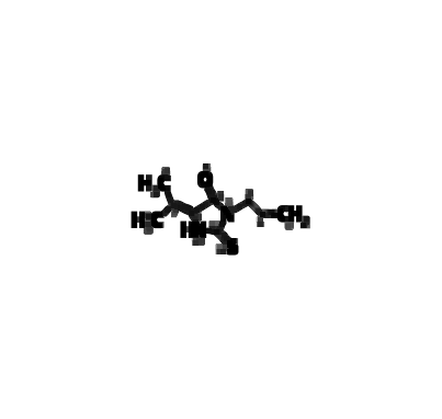 C=CCN1C(=O)C(=C(C)C)NC1=S